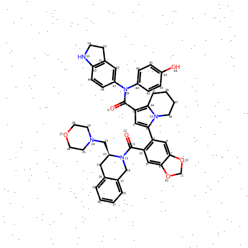 O=C(c1cc(-c2cc3c(cc2C(=O)N2Cc4ccccc4C[C@H]2CN2CCOCC2)OCO3)n2c1CCCC2)N(c1ccc(O)cc1)c1ccc2c(c1)CCN2